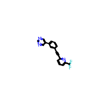 FC(F)c1cccc(C#Cc2cccc(-c3cncnc3)c2)n1